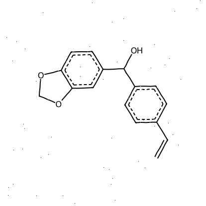 C=Cc1ccc(C(O)c2ccc3c(c2)OCO3)cc1